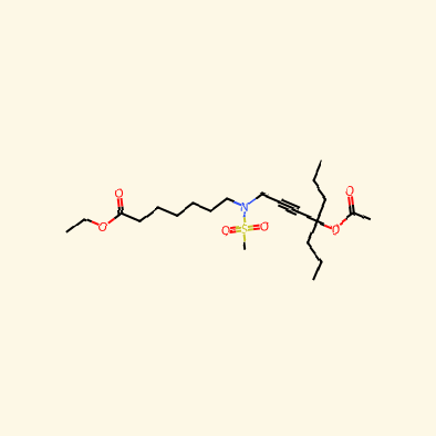 CCCC(C#CCN(CCCCCCC(=O)OCC)S(C)(=O)=O)(CCC)OC(C)=O